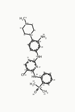 CN1CCN(c2ccc(Nc3ncc(Cl)c(Nc4ccccc4P(C)(C)=O)n3)cc2N)CC1